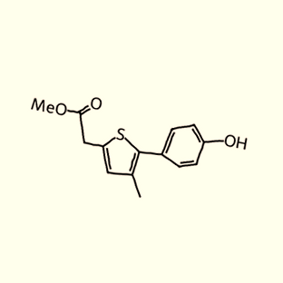 COC(=O)Cc1cc(C)c(-c2ccc(O)cc2)s1